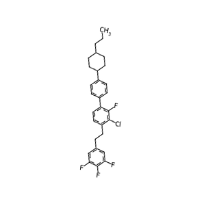 CCCC1CCC(c2ccc(-c3ccc(CCc4cc(F)c(F)c(F)c4)c(Cl)c3F)cc2)CC1